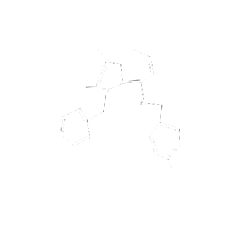 Cc1c(C)n(Cc2ccccc2)c2c(NCc3ccc(F)cc3)cncc12